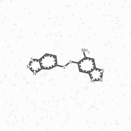 Nc1cc2snnc2cc1SSc1ccc2snnc2c1